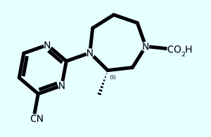 C[C@H]1CN(C(=O)O)CCCN1c1nccc(C#N)n1